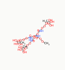 CCCOCCOCCC(=O)NC(COCCC(=O)NCCOCCOCCOC1OC(CO)C(O)C(O)C1C)(COCCC(=O)NCCOCCOCCOC1OC(CO)C(O)C(O)C1C)COCCC(=O)NCCOCCOCCOC1OC(CO)C(O)C(O)C1C